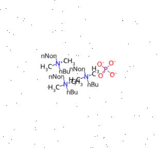 CCCCCCCCC[N+](C)(C)CCCC.CCCCCCCCC[N+](C)(C)CCCC.CCCCCCCCC[N+](C)(C)CCCC.O=P([O-])([O-])[O-]